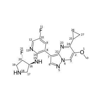 COc1cn2ncc(-c3cc(F)cnc3N[C@H]3CNC[C@@H]3F)c2nc1C1CC1